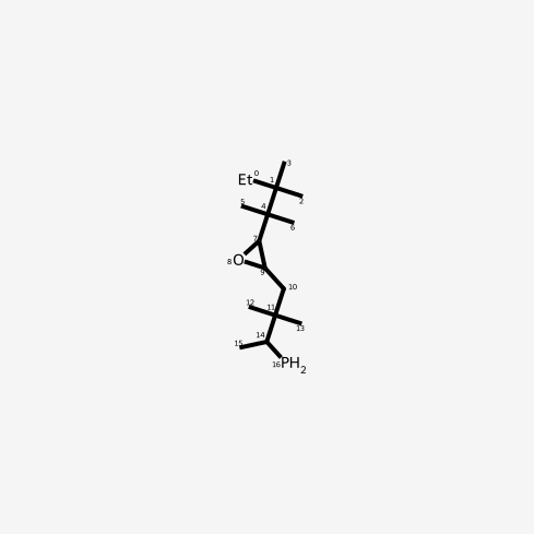 CCC(C)(C)C(C)(C)C1OC1CC(C)(C)C(C)P